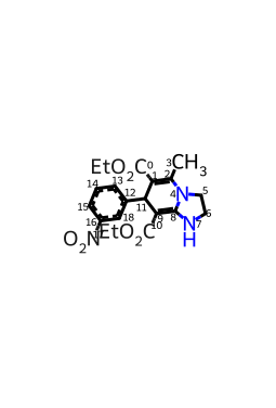 CCOC(=O)C1=C(C)N2CCNC2=C(C(=O)OCC)C1c1cccc([N+](=O)[O-])c1